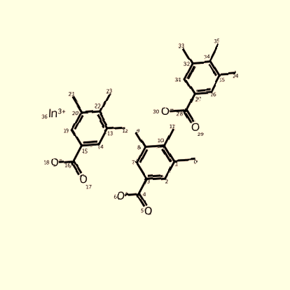 Cc1cc(C(=O)[O-])cc(C)c1C.Cc1cc(C(=O)[O-])cc(C)c1C.Cc1cc(C(=O)[O-])cc(C)c1C.[In+3]